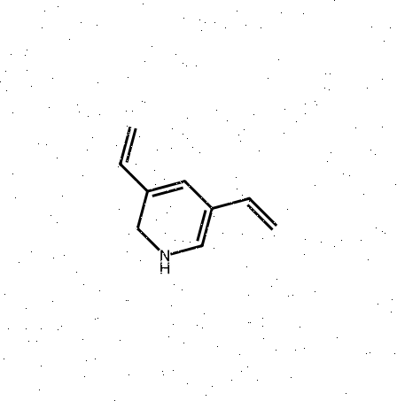 C=CC1=CNCC(C=C)=C1